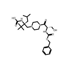 CC(C)C[C@](CN1CCN(C(=O)[C@H](CO)NC(=O)OCc2ccccc2)CC1)(NC(=O)O)C(C)(C)C